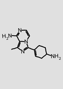 Cc1nc(C2=CCC(N)CC2)n2ccnc(N)c12